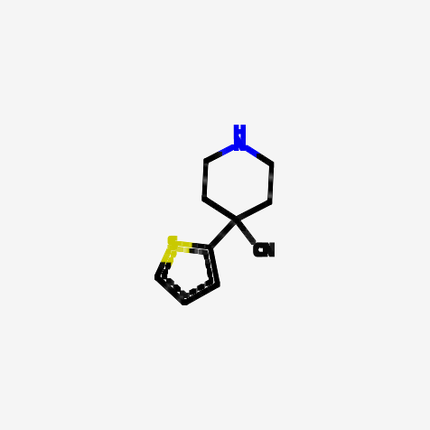 N#CC1(c2cccs2)CCNCC1